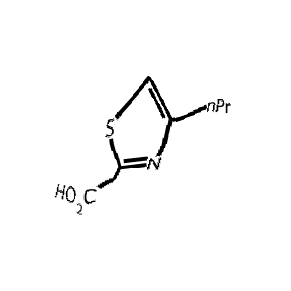 CCCc1csc(C(=O)O)n1